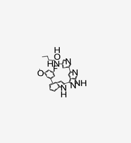 CCCC(O)Nc1cncc(-c2cc3c(-c4cc5c(-c6cc(F)cc(OC)c6)cccc5[nH]4)n[nH]c3cn2)c1